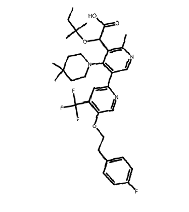 CCC(C)(C)OC(C(=O)O)c1c(C)ncc(-c2cc(C(F)(F)F)c(OCCc3ccc(F)cc3)cn2)c1N1CCC(C)(C)CC1